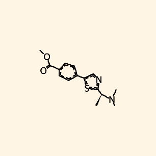 COC(=O)c1ccc(-c2cnc([C@H](C)N(C)C)s2)cc1